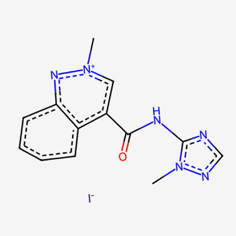 Cn1ncnc1NC(=O)c1c[n+](C)nc2ccccc12.[I-]